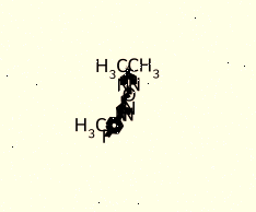 Cc1cc(-n2cc(COc3ncc(C(C)C)cn3)nn2)ccc1F